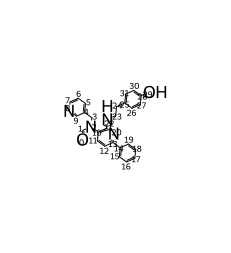 O=CN(Cc1cccnc1)c1ccc(-c2ccccc2)nc1NCCc1ccc(O)cc1